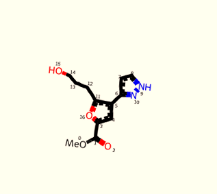 COC(=O)c1cc(-c2cc[nH]n2)c(CCCO)o1